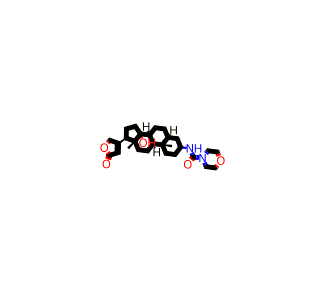 C[C@]12CC[C@H](NC(=O)N3CCOCC3)C[C@H]1CC[C@@H]1[C@@H]2CC[C@]2(C)[C@@H](C3=CC(=O)OC3)CC[C@]12O